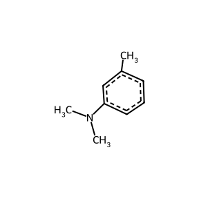 Cc1cccc(N(C)C)c1